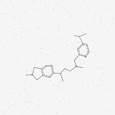 CC(C)c1ccnc(CN(C)CCC(C)c2ccc3c(c2)CN(C)C3)c1